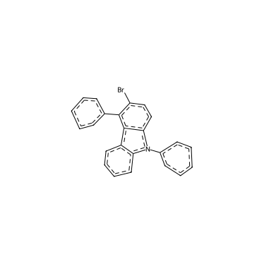 Brc1ccc2c(c1-c1ccccc1)c1ccccc1n2-c1ccccc1